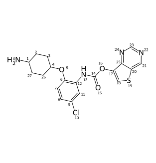 NC1CCC(Oc2ccc(Cl)cc2NC(=O)Oc2csc3cncnc23)CC1